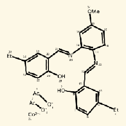 CC(=O)[O-].CC(=O)[O-].CCc1ccc(O)c(C=Nc2ccc(OC)cc2N=Cc2cc(CC)ccc2O)c1.[Co+2]